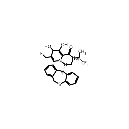 C[C@@H](N1CN([C@H]2c3ccccc3CSc3ccccc32)N2C=C(CF)C(O)C(O)=C2C1=O)C(F)(F)F